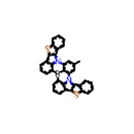 Cc1cc2c3c(c1)-n1c4c(cccc4c4sc5ccccc5c41)B3c1cccc3c4sc5ccccc5c4n-2c13